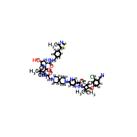 Cc1ncsc1-c1ccc(CNC(=O)[C@@H]2C[C@@H](O)CN2C(=O)[C@@H](NC(=O)CN2CCC3(CC2)CCN(c2ccc(C(=O)NC4C(C)(C)C(Oc5ccc(C#N)c(Cl)c5)C4(C)C)cn2)CC3)C(C)(C)C)cc1